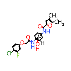 Cc1cc(C(=O)NC23CCC(NC(=O)COc4ccc(Cl)c(F)c4)(CC2)[C@@H](O)C3)oc1C